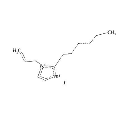 C=CC[n+]1cc[nH]c1CCCCCC.[I-]